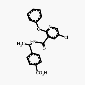 CC(NC(=O)c1cc(Cl)cnc1Oc1ccccc1)c1ccc(C(=O)O)cc1